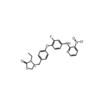 CCN1C(=O)OC[C@@H]1Cc1ccc(Oc2ccc(Nc3ncccc3[N+](=O)[O-])cc2F)cc1